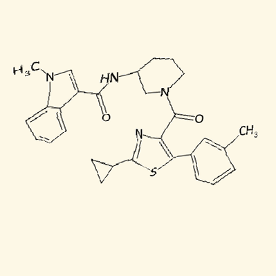 Cc1cccc(-c2sc(C3CC3)nc2C(=O)N2CCCC(NC(=O)c3cn(C)c4ccccc34)C2)c1